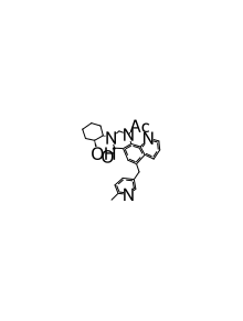 CC(=O)N1CN([C@H]2CCCC[C@@H]2O)C(=O)c2cc(Cc3ccc(C)nc3)c3cccnc3c21